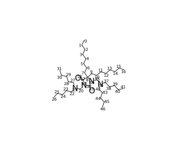 CCCCCCCCC1(CCCCCCCC)C(=O)N(CN(CCCCC)CCCCC)C(=O)N1CN(CCCCC)CCCCC